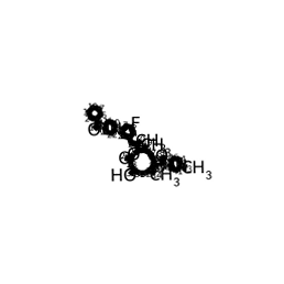 C/C(=C\c1cc(F)cc(N2CCN(C(=O)C3CCCCC3)CC2)c1)C1OC(=O)CC(O)CCC(C)C(OC(=O)N2CCN(C)CC2)C=CC1C